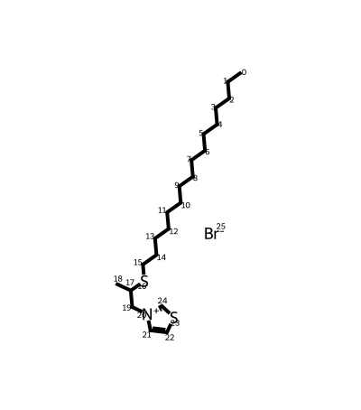 CCCCCCCCCCCCCCCCSC(C)C[n+]1ccsc1.[Br-]